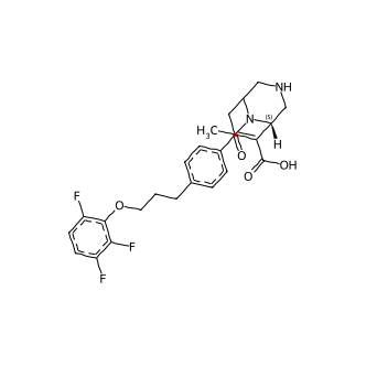 CC(=O)N1C2CNC[C@@H]1C(C(=O)O)=C(c1ccc(CCCOc3c(F)ccc(F)c3F)cc1)C2